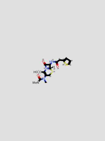 CNC(=O)N(C)C1=C(C(=O)O)N2C(=O)C(NC(=O)Cc3cccs3)[C@@H]2SC1